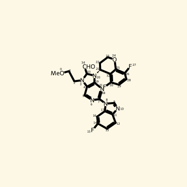 COCCN1c2cnc(-n3cnc4ccc(F)cc43)nc2N([C@@H]2CCOc3c(F)ccc(F)c32)C1C=O